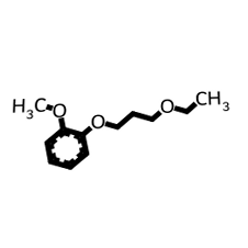 CCOCCCOc1ccccc1OC